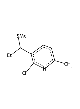 CSC(C[14CH3])c1ccc(C)nc1Cl